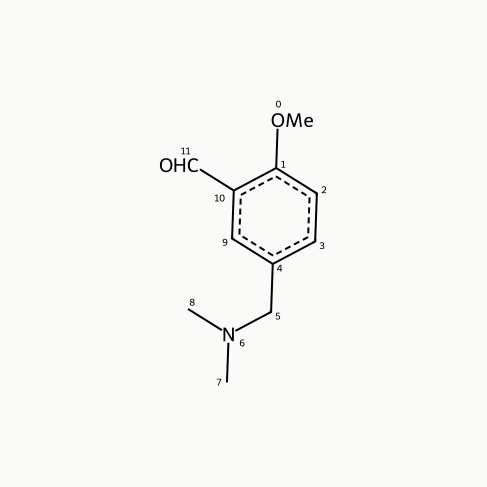 COc1ccc(CN(C)C)cc1C=O